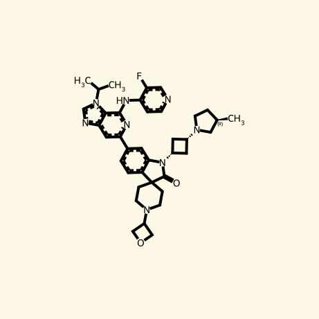 CC(C)n1cnc2cc(-c3ccc4c(c3)N([C@H]3C[C@@H](N5CC[C@@H](C)C5)C3)C(=O)C43CCN(C4COC4)CC3)nc(Nc3ccncc3F)c21